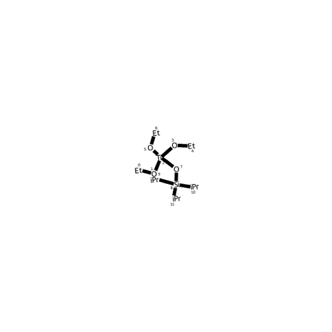 CC[O][Ti]([O]CC)([O]CC)[O][Si](C(C)C)(C(C)C)C(C)C